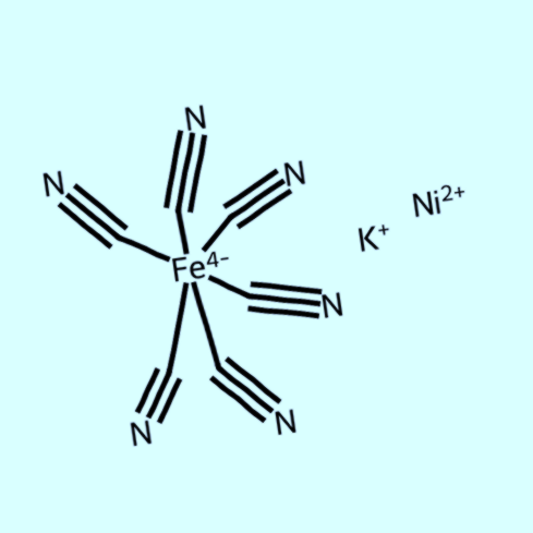 N#[C][Fe-4]([C]#N)([C]#N)([C]#N)([C]#N)[C]#N.[K+].[Ni+2]